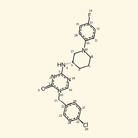 O=c1nc(N[C@H]2CCCN(c3ccc(F)cc3)C2)ncn1Cc1ccc(Cl)cc1